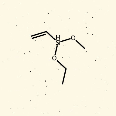 C=C[SiH](OC)OCC